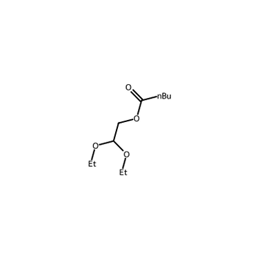 CCCCC(=O)OCC(OCC)OCC